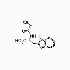 CC(C)(C)OC(=O)N[C@H](Cc1nc2ccccc2[nH]1)C(=O)O